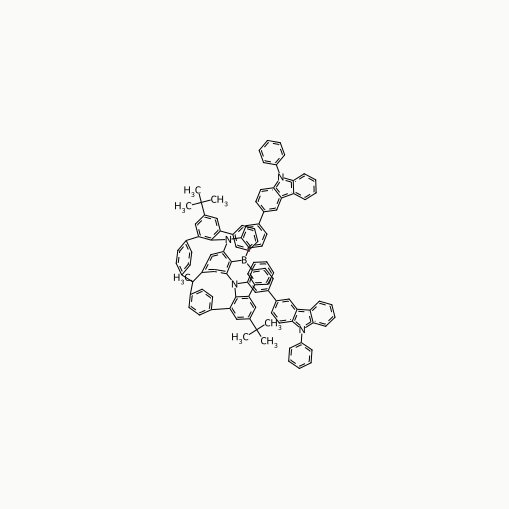 CC(C)(C)c1cc(-c2ccccc2)c2c(c1)-c1ccc(cc1)C1(C)c3ccc(cc3)-c3cc(C(C)(C)C)cc(-c4ccccc4)c3N3c4cc(-c5ccc6c(c5)c5ccccc5n6-c5ccccc5)ccc4B4c5ccc(-c6ccc7c(c6)c6ccccc6n7-c6ccccc6)cc5N2c2cc1cc3c24